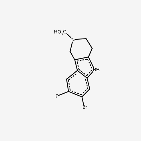 O=C(O)N1CCc2[nH]c3cc(Br)c(F)cc3c2C1